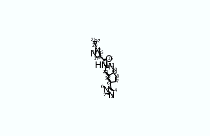 Cn1cncc1-c1ccc2cnc(NC(=O)c3cnn(C4CC4)c3)cc2c1